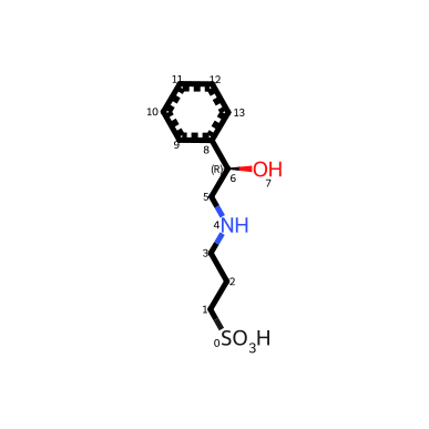 O=S(=O)(O)CCCNC[C@H](O)c1ccccc1